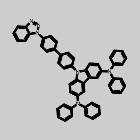 c1ccc(N(c2ccccc2)c2ccc3c(c2)c2cc(N(c4ccccc4)c4ccccc4)ccc2n3-c2ccc(-c3ccc(-n4nnc5ccccc54)cc3)cc2)cc1